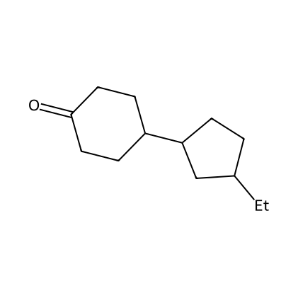 CCC1CCC(C2CCC(=O)CC2)C1